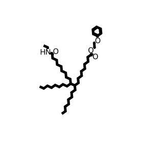 CCCCCCCCC(CCCCCCCCC(=O)NCC)C(CCCCCCCC)CCCCCCCCC(=O)OCCOc1ccccc1